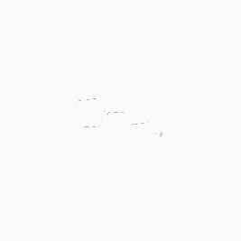 [NH]CC(O)CN1CCOCC1